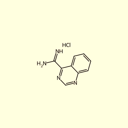 Cl.N=C(N)c1ncnc2ccccc12